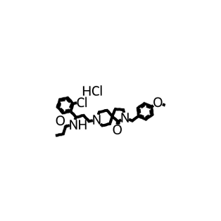 CCC(=O)NC(CCN1CCC2(CC1)CCN(Cc1ccc(OC)cc1)C2=O)c1ccccc1Cl.Cl